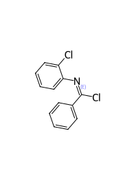 Cl/C(=N/c1ccccc1Cl)c1ccccc1